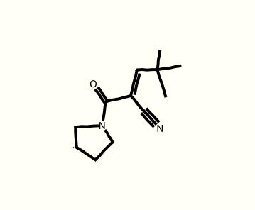 CC(C)(C)/C=C(\C#N)C(=O)N1C[CH]CC1